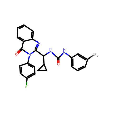 O=C(Nc1cccc(C(F)(F)F)c1)NC(c1nc2ccccc2c(=O)n1-c1ccc(F)cc1)C1CC1